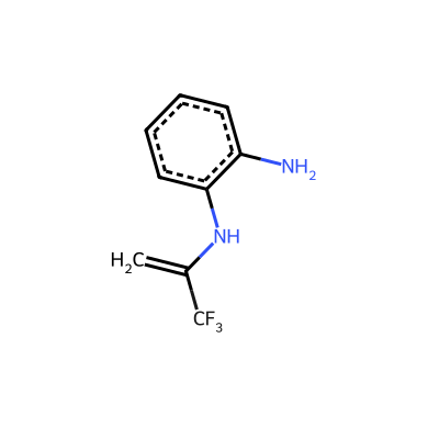 C=C(Nc1ccccc1N)C(F)(F)F